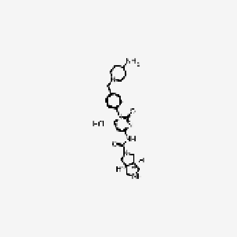 Cl.NC1CCN(Cc2ccc(-n3ccc(NC(=O)N4C[C@H]5CNC[C@H]5C4)nc3=O)cc2)CC1